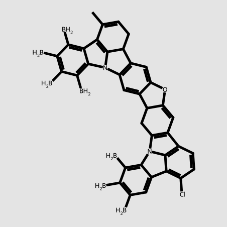 Bc1cc2c3c(Cl)ccc4c5c(n(c2c(B)c1B)c43)CC1C(=C5)Oc2cc3c(cc21)-n1c2c(c4c(B)c(B)c(B)c(B)c41)C(C)=CCC32